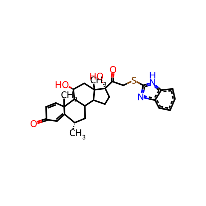 C[C@H]1CC2C([C@@H](O)CC3(C)C2CC[C@]3(O)C(=O)CSc2nc3ccccc3[nH]2)C2(C)C=CC(=O)C=C12